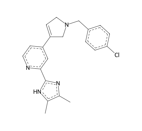 Cc1nc(-c2cc(C3=CCN(Cc4ccc(Cl)cc4)C3)ccn2)[nH]c1C